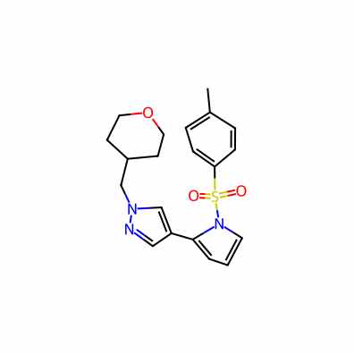 Cc1ccc(S(=O)(=O)n2cccc2-c2cnn(CC3CCOCC3)c2)cc1